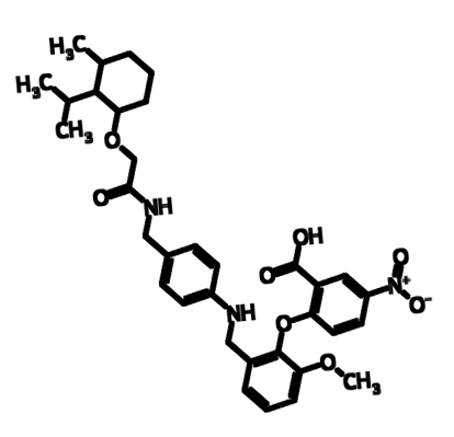 COc1cccc(CNc2ccc(CNC(=O)COC3CCCC(C)C3C(C)C)cc2)c1Oc1ccc([N+](=O)[O-])cc1C(=O)O